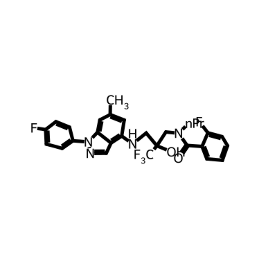 CCCN(CC(O)(CNc1cc(C)cc2c1cnn2-c1ccc(F)cc1)C(F)(F)F)C(=O)c1ccccc1F